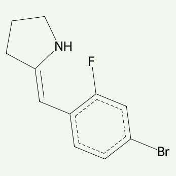 Fc1cc(Br)ccc1C=C1CCCN1